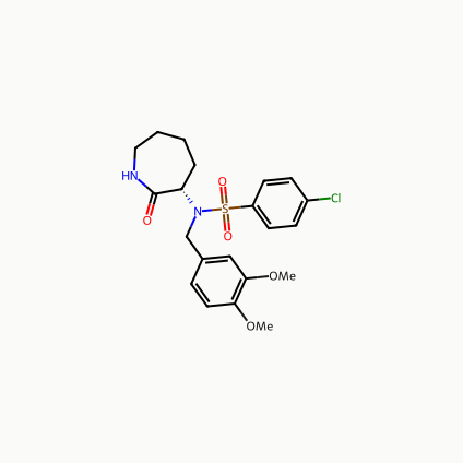 COc1ccc(CN([C@H]2CCCCNC2=O)S(=O)(=O)c2ccc(Cl)cc2)cc1OC